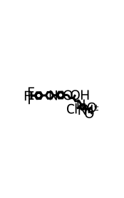 O=[N+]([O-])c1cn(CCC(O)COc2ccc(N3CCC(c4ccc(C(F)(F)F)cc4)CC3)cc2)c(Cl)n1